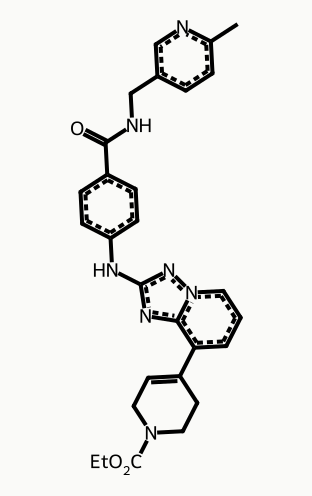 CCOC(=O)N1CC=C(c2cccn3nc(Nc4ccc(C(=O)NCc5ccc(C)nc5)cc4)nc23)CC1